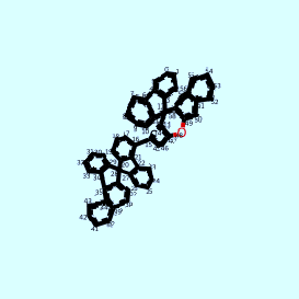 c1ccc2c(c1)-c1ccccc1C21c2cc(-c3cccc4c3-c3ccccc3C43c4ccccc4-c4c3ccc3ccccc43)ccc2Oc2cc3ccccc3cc21